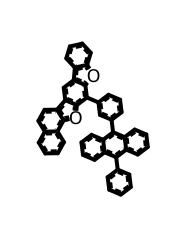 c1ccc(-c2c3ccccc3c(-c3cccc(-c4c5oc6ccccc6c5cc5c4oc4c6ccccc6ccc54)c3)c3ccccc23)cc1